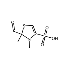 CN1C(S(=O)(=O)O)=CSC1(C)C=O